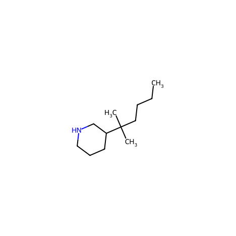 CCCCC(C)(C)C1CCCNC1